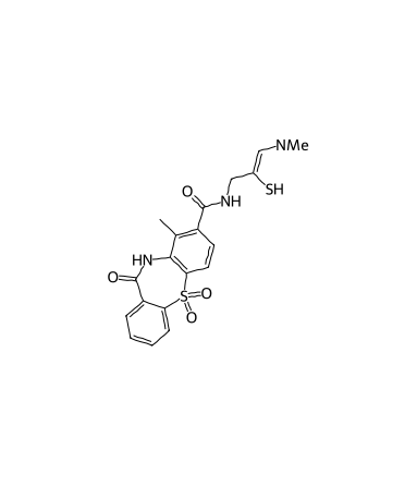 CN/C=C(\S)CNC(=O)c1ccc2c(c1C)NC(=O)c1ccccc1S2(=O)=O